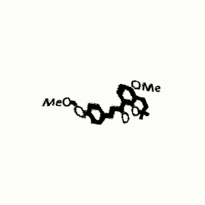 COCOc1ccc(C=CC(=O)c2ccc(OC)c3c2OC(C)(C)C=C3)cc1